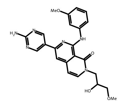 COCC(O)Cn1ccc2cc(-c3cnc(N)nc3)nc(Nc3cccc(OC)c3)c2c1=O